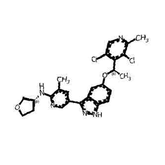 Cc1cc(-c2n[nH]c3ccc(O[C@H](C)c4c(Cl)cnc(C)c4Cl)cc23)cnc1N[C@@H]1CCOC1